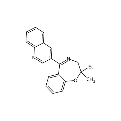 CCC1(C)CN=C(c2cnc3ccccc3c2)c2ccccc2O1